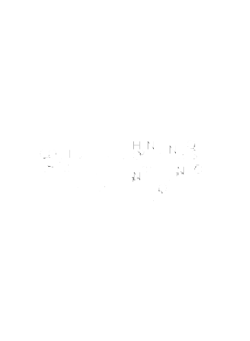 CS(=O)(=O)c1nc(N)c2c(n1)OCCN(c1ccc([C@H]3CC[C@H](CC(=O)O)CC3)cc1)C2=O